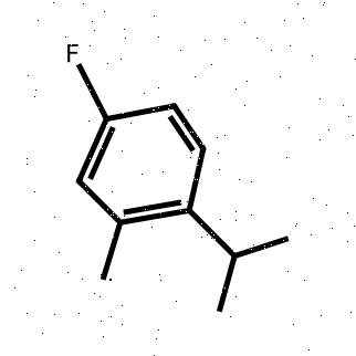 [CH2]c1cc(F)ccc1C(C)C